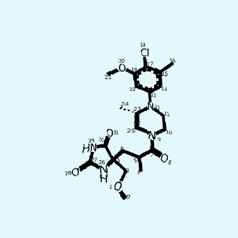 COCC1(CC(C)C(=O)N2CCN(c3cc(C)c(Cl)c(OC)c3)[C@@H](C)C2)NC(=O)NC1=O